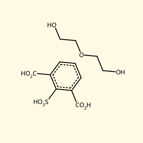 O=C(O)c1cccc(C(=O)O)c1S(=O)(=O)O.OCCOCCO